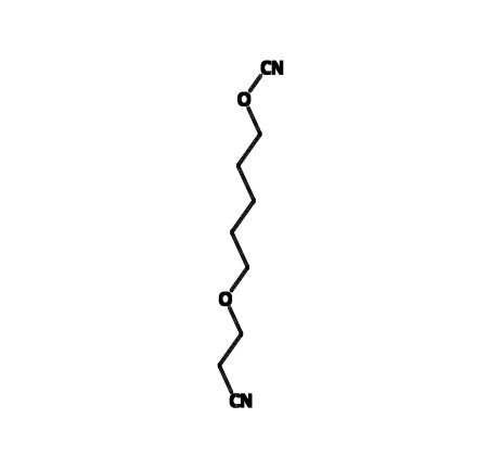 N#CCCOCCCCCOC#N